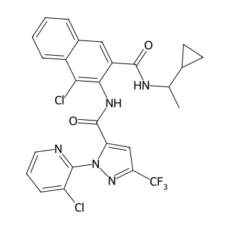 CC(NC(=O)c1cc2ccccc2c(Cl)c1NC(=O)c1cc(C(F)(F)F)nn1-c1ncccc1Cl)C1CC1